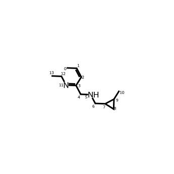 C/C=C\C(CNCC1CC1C)=N/CC